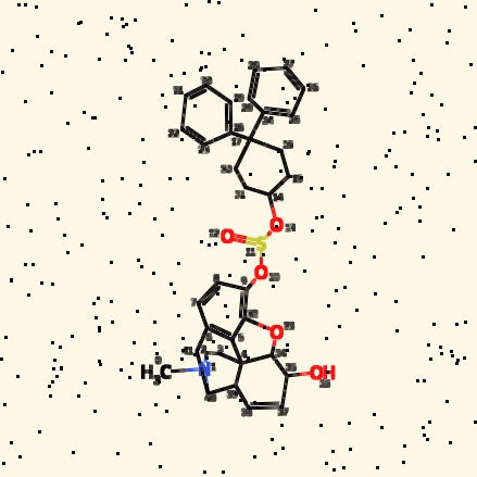 CN1CCC23c4c5ccc(OS(=O)OC6CCC(c7ccccc7)(c7ccccc7)CC6)c4OC2C(O)C=CC3C1C5